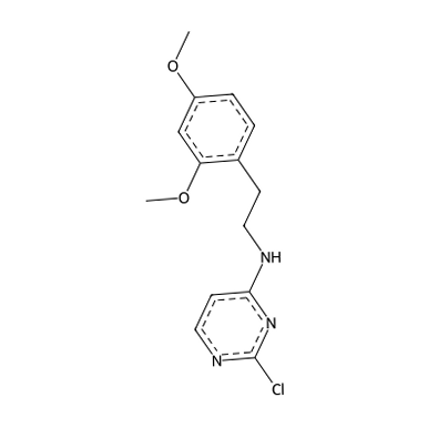 COc1ccc(CCNc2ccnc(Cl)n2)c(OC)c1